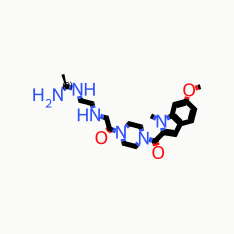 COc1ccc2cc(C(=O)N3CCN(C(=O)CNCCN[C@H](C)N)CC3)n(C)c2c1